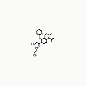 C=C(C)N1c2ccc(/C(C=N)=C/NCCO)c(Cc3ncccn3)c2CCC1C